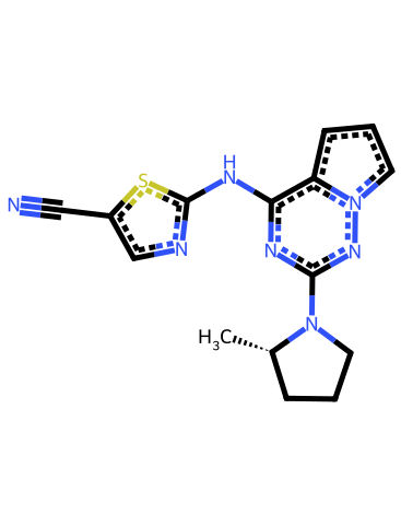 C[C@H]1CCCN1c1nc(Nc2ncc(C#N)s2)c2cccn2n1